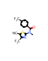 CN(C(=O)c1ccc(C(F)(F)F)cc1)c1nc(C(F)(F)F)c(C#N)s1